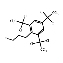 [O]CCCc1c(C(Cl)(Cl)C(Cl)(Cl)Cl)cc(C(Cl)(Cl)C(Cl)(Cl)Cl)cc1C(Cl)(Cl)C(Cl)(Cl)Cl